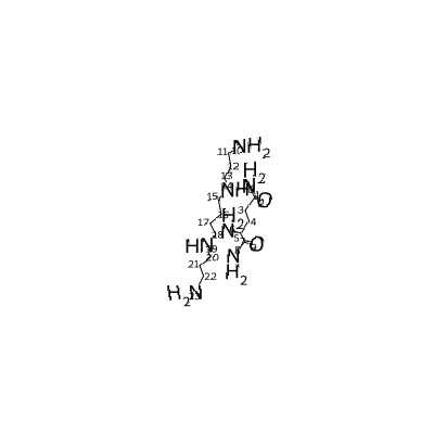 NC(=O)CC[C@H](N)C(N)=O.NCCCNCCCCNCCCN